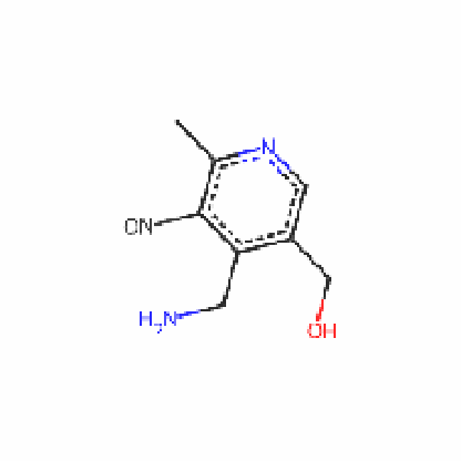 Cc1ncc(CO)c(CN)c1N=O